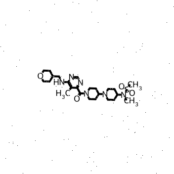 Cc1c(NCC2CCOCC2)ncnc1C(=O)N1CCC(N2CCC(N(C)S(C)(=O)=O)CC2)CC1